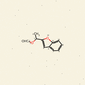 CC(O[C]=O)c1cc2ccccc2o1